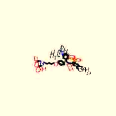 CCCCC1(CCCC)CS(=O)(=O)c2ccc(N(C)C)cc2[C@@H](c2ccc(OCCCCCN(CC=O)CC(=O)O)cc2)[C@H]1O